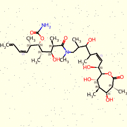 C=C/C=C\[C@H](C)[C@H](OC(N)=O)[C@@H](C)[C@H](O)[C@@H](C)C(=O)N(C)CC(C)C(O)C(C)/C=C\[C@H](O)C1OC(=O)[C@H](C)[C@@H](O)[C@@H](C)[C@@H]1O